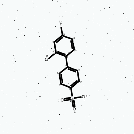 O=S(=O)(Cl)c1ccc(-c2ccc(F)cc2Cl)cc1